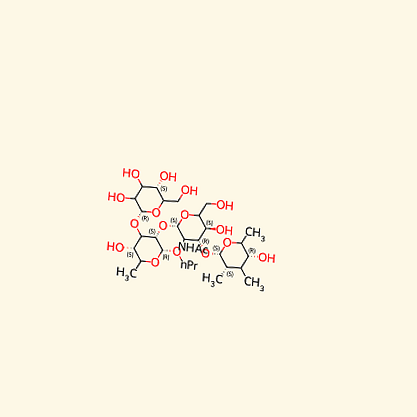 CCCO[C@@H]1OC(C)[C@H](O)C(O[C@H]2OC(CO)[C@@H](O)C(O)C2O)[C@@H]1O[C@@H]1OC(CO)[C@@H](O)[C@H](O[C@@H]2OC(C)[C@H](O)C(C)[C@@H]2C)C1NC(C)=O